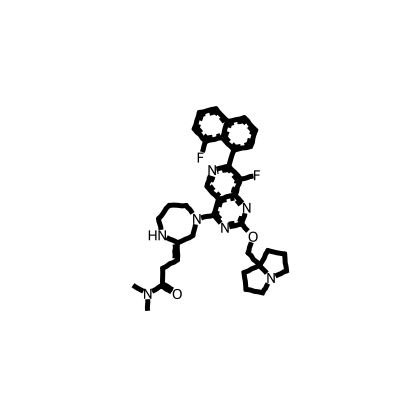 CN(C)C(=O)C/C=C1/CN(c2nc(OCC34CCCN3CCC4)nc3c(F)c(-c4cccc5cccc(F)c45)ncc23)CCCN1